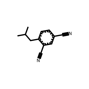 C[C](C)Cc1ccc(C#N)cc1C#N